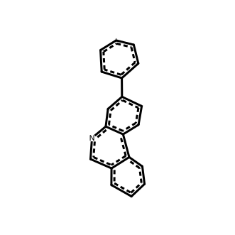 [c]1ccc(-c2ccc3c(c2)ncc2ccccc23)cc1